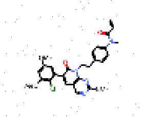 C=CC(=O)N(C)c1ccc(CCn2c(=O)c(-c3cc(OC)cc(OC)c3Cl)cc3cnc(NC)nc32)cc1